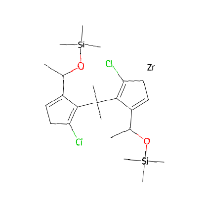 CC(O[Si](C)(C)C)C1=CCC(Cl)=C1C(C)(C)C1=C(Cl)CC=C1C(C)O[Si](C)(C)C.[Zr]